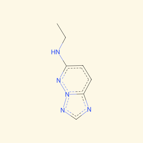 CCNc1ccc2ncnn2n1